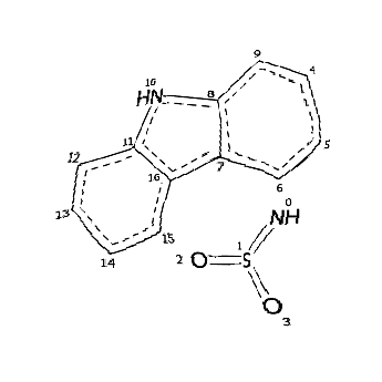 N=S(=O)=O.c1ccc2c(c1)[nH]c1ccccc12